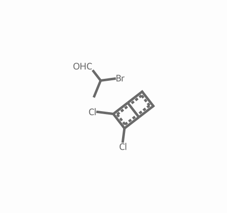 CC(Br)C=O.Clc1c2ccc-2c1Cl